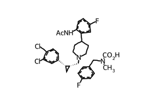 CC(=O)Nc1ccc(F)cc1C1CCN(C[C@@H]2C[C@@H]2c2ccc(Cl)c(Cl)c2)CC1.CN(Cc1ccc(F)cc1)C(=O)O